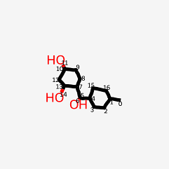 CC1CCC(C(O)C2CCC(O)CC2O)CC1